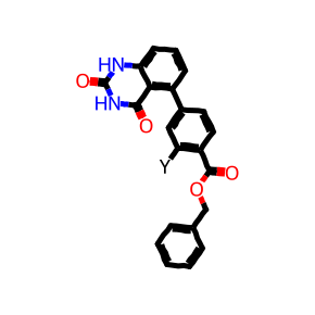 O=C(OCc1ccccc1)c1ccc(-c2cccc3[nH]c(=O)[nH]c(=O)c23)c[c]1[Y]